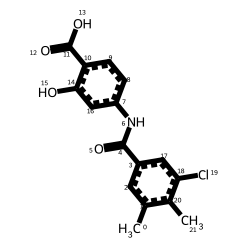 Cc1cc(C(=O)Nc2ccc(C(=O)O)c(O)c2)cc(Cl)c1C